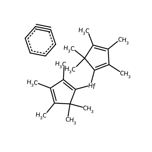 CC1=C(C)C(C)(C)[C]([Hf][C]2=C(C)C(C)=C(C)C2(C)C)=C1C.c1ccccc#1